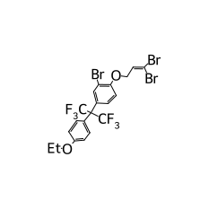 CCOc1ccc(C(c2ccc(OCC=C(Br)Br)c(Br)c2)(C(F)(F)F)C(F)(F)F)cc1